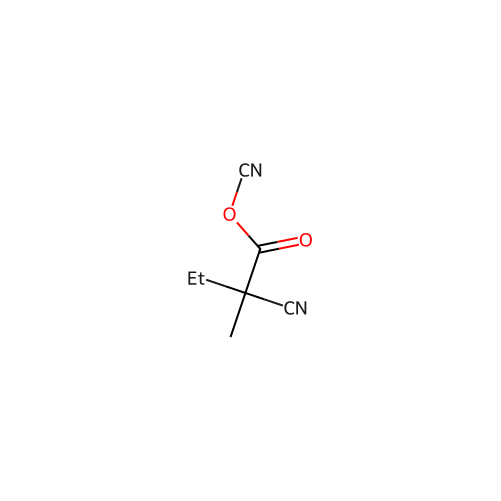 CCC(C)(C#N)C(=O)OC#N